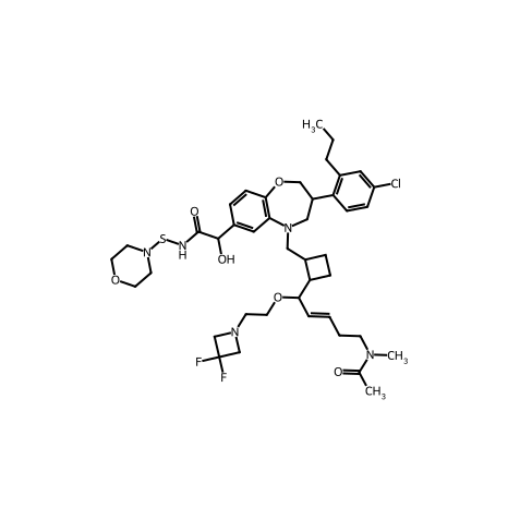 CCCc1cc(Cl)ccc1C1COc2ccc(C(O)C(=O)NSN3CCOCC3)cc2N(CC2CCC2C(/C=C/CCN(C)C(C)=O)OCCN2CC(F)(F)C2)C1